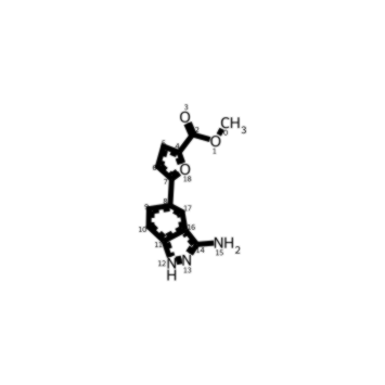 COC(=O)c1ccc(-c2ccc3[nH]nc(N)c3c2)o1